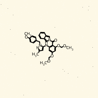 COCOc1cc(Nc2cc(C)nn2Cc2ccc(OC)cc2)c(C(=O)n2cc3ccccc3c2)c(OCOC)c1